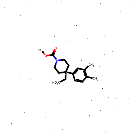 Cc1ccc(C2(CC(=O)O)CCN(C(=O)OC(C)(C)C)CC2)cc1C